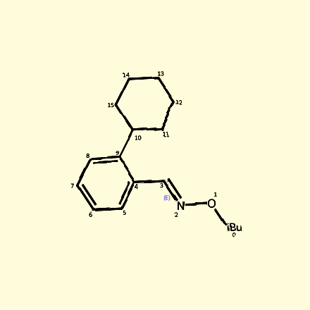 CCC(C)O/N=[C]/c1ccccc1C1CCCCC1